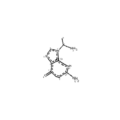 CC(N)n1cnc2c(=O)cc(N)[nH]c21